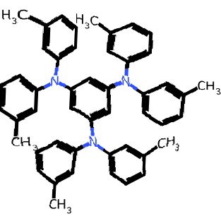 Cc1cccc(N(c2cccc(C)c2)c2cc(N(c3cccc(C)c3)c3cccc(C)c3)cc(N(c3cccc(C)c3)c3cccc(C)c3)c2)c1